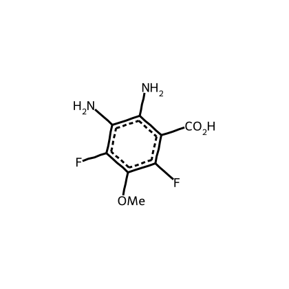 COc1c(F)c(N)c(N)c(C(=O)O)c1F